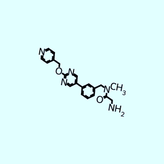 CN(Cc1cccc(-c2cnc(OCc3ccncc3)nc2)c1)C(=O)CN